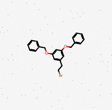 BrCCc1cc(OCc2ccccc2)cc(OCc2ccccc2)c1